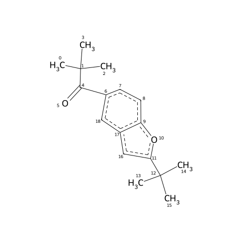 CC(C)(C)C(=O)c1ccc2oc(C(C)(C)C)cc2c1